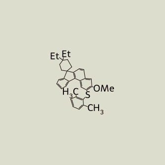 CCC1(CC)CCC2(CC1)c1ccccc1-c1c2ccc2cc(OC)c(Sc3c(C)cccc3C)cc12